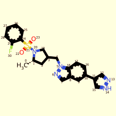 C[C@H]1CC(Cn2ncc3cc(-c4cn[nH]c4)ccc32)CN1S(=O)(=O)c1ccccc1F